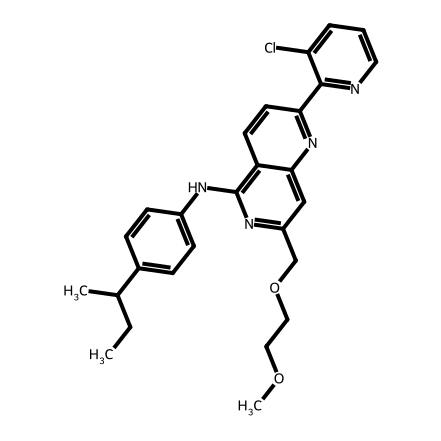 CCC(C)c1ccc(Nc2nc(COCCOC)cc3nc(-c4ncccc4Cl)ccc23)cc1